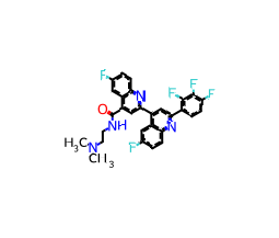 CN(C)CCNC(=O)c1cc(-c2cc(-c3ccc(F)c(F)c3F)nc3ccc(F)cc23)nc2ccc(F)cc12